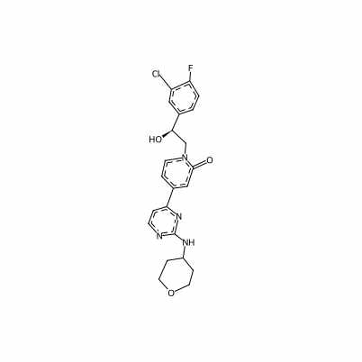 O=c1cc(-c2ccnc(NC3CCOCC3)n2)ccn1C[C@@H](O)c1ccc(F)c(Cl)c1